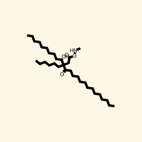 CCCCCCCCCCCCCC(=O)C(CCCCCC)(CC(=O)ONC)C(O)CCCCCCCCC